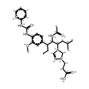 CCC(c1ccc(NC(=O)Nc2ccccn2)c(OC)c1)C(NC(C)=O)C(CC(C)C)N1C=NN(CCC(=O)O)C1